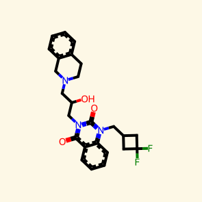 O=c1c2ccccc2n(CC2CC(F)(F)C2)c(=O)n1CC(O)CN1CCc2ccccc2C1